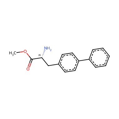 COC(=O)[C@H](N)Cc1ccc(-c2ccccc2)cc1